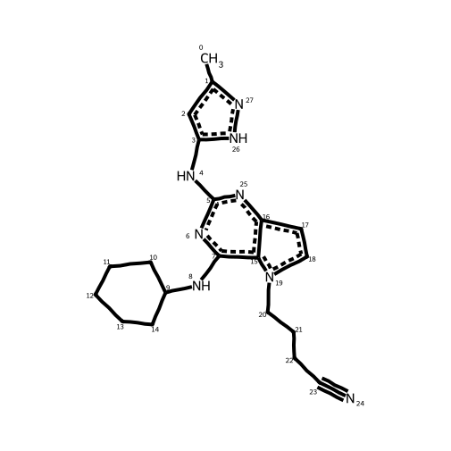 Cc1cc(Nc2nc(NC3CCCCC3)c3c(ccn3CCCC#N)n2)[nH]n1